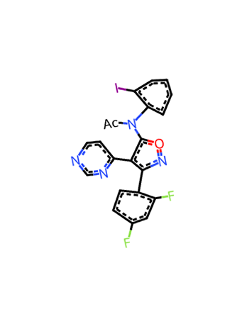 CC(=O)N(c1ccccc1I)c1onc(-c2ccc(F)cc2F)c1-c1ccncn1